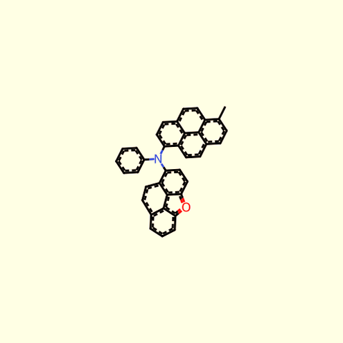 Cc1ccc2ccc3c(N(c4ccccc4)c4ccc5oc6cccc7ccc4c5c76)ccc4ccc1c2c43